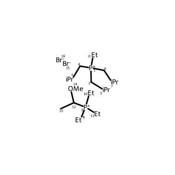 CC[P+](CC(C)C)(CC(C)C)CC(C)C.CC[P+](CC)(CC)C(C)OC.[Br-].[Br-]